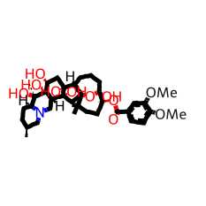 COc1ccc(C(=O)O[C@H]2CCC(C)(C)C34C[C@@]5(O)[C@@H]6CN7C[C@@H](C)CC[C@H]7[C@@](C)(O)[C@@]6(O)[C@@H](O)C[C@@]5(O)[C@@H]3CCC[C@]2(O)O4)cc1OC